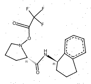 O=C(N[C@@H]1CCCc2ccccc21)[C@@H]1CCCN1OC(=O)C(F)(F)F